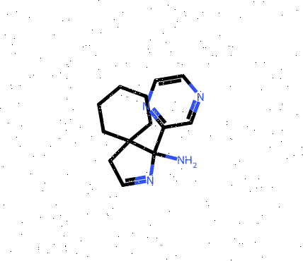 NC1(c2cnccn2)N=CCC12CCCCC2